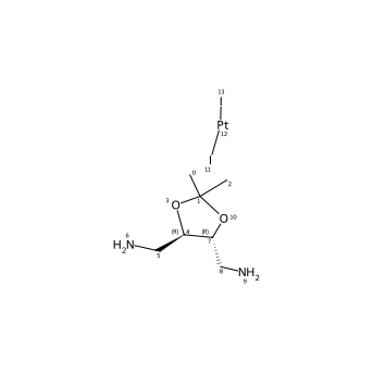 CC1(C)O[C@H](CN)[C@@H](CN)O1.[I][Pt][I]